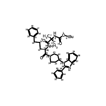 CC(C)(C)OC(=O)NC(C)(C)C(=O)N[C@H](CCCc1ccccc1)C(=O)N1CCC(n2c(-c3ccccc3)nc3ccccc32)CC1